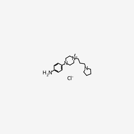 C[N+]1(CCCN2CCCC2)CCN(c2ccc(N)cc2)CC1.[Cl-]